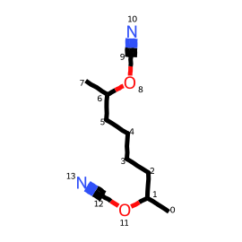 CC(CCCCC(C)OC#N)OC#N